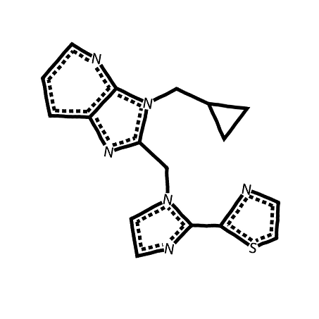 c1cnc2c(c1)nc(Cn1ccnc1-c1nccs1)n2CC1CC1